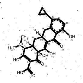 CN(C)[C@@H]1C(O)=C(C(=O)O)C(=O)[C@@]2(O)C(O)=C3C(=O)c4c(O)ccc(C5CC5)c4C[C@H]3C[C@@H]12